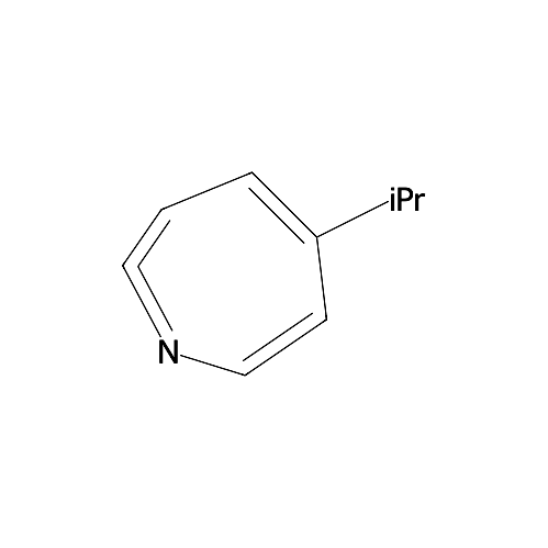 CC(C)C1=CC=C=NC=C1